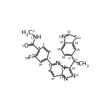 CNC(=O)c1ccc(-c2ccc3nnc(C(C)c4ccc5ncsc5c4)n3n2)cc1F